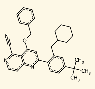 CC(C)(C)c1ccc(-c2cc(OCc3ccccc3)c3c(C#N)nccc3n2)c(CC2CCCCC2)c1